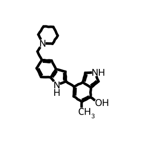 Cc1cc(-c2cc3cc(CN4CCCCC4)ccc3[nH]2)c2c[nH]cc2c1O